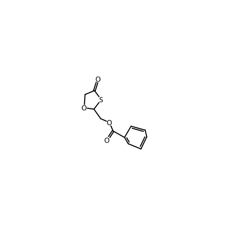 O=C1COC(COC(=O)c2ccccc2)S1